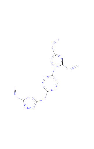 N=Nc1n[nH]c(Nc2nnc(-n3nc(N=N)nc3N=N)nn2)n1